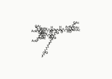 C=CCOC(=O)CCCCCCCCCCNC(=O)[C@H](CCC(=O)N(CCNC(=O)CCCCOC(O)/C(NC(C)=O)=C(\OC(C)=O)C(CCOC(C)=O)OC(C)=O)CCNC(=O)CCCCOC(O)/C(NC(C)=O)=C(\OC(C)=O)C(CCOC(C)=O)OC(C)=O)NC(=O)CCCCOC(O)/C(=C\C(=C\COC(C)=O)OC(C)=O)NC(C)=O